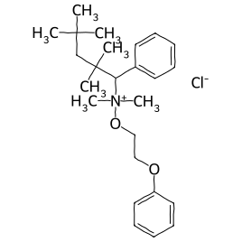 CC(C)(C)CC(C)(C)C(c1ccccc1)[N+](C)(C)OCCOc1ccccc1.[Cl-]